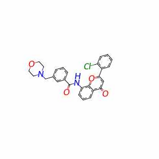 O=C(Nc1cccc2c(=O)cc(-c3ccccc3Cl)oc12)c1cccc(CN2CCOCC2)c1